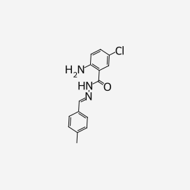 Cc1ccc(C=NNC(=O)c2cc(Cl)ccc2N)cc1